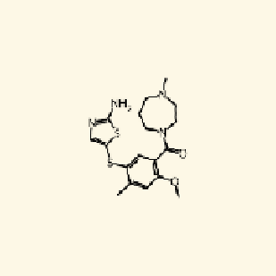 COc1cc(C)c(Sc2cnc(N)s2)cc1C(=O)N1CCCN(C)CC1